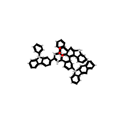 c1ccc(-c2nc(-c3ccc4c5ccccc5n(-c5ccccc5)c4c3)nc(-c3ccc(-n4c5ccccc5c5cc6ccccc6cc54)cc3-c3c4ccccc4cc4oc5ccccc5c34)n2)cc1